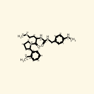 CNc1ccc(CNC(=O)NC(CCSC)C(=O)N2CCCC2c2ccccc2SC)cc1